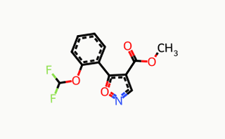 COC(=O)c1cnoc1-c1ccccc1OC(F)F